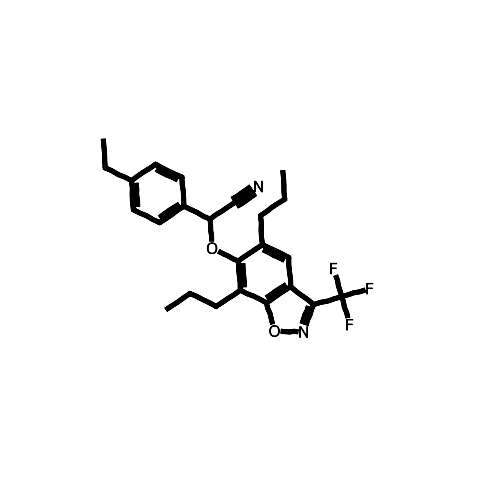 CCCc1cc2c(C(F)(F)F)noc2c(CCC)c1OC(C#N)c1ccc(CC)cc1